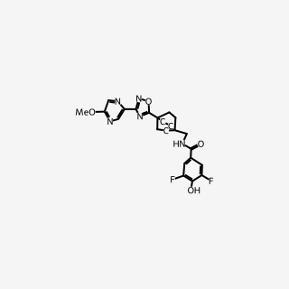 COc1cnc(-c2noc(C34CCC(CNC(=O)c5cc(F)c(O)c(F)c5)(CC3)CC4)n2)cn1